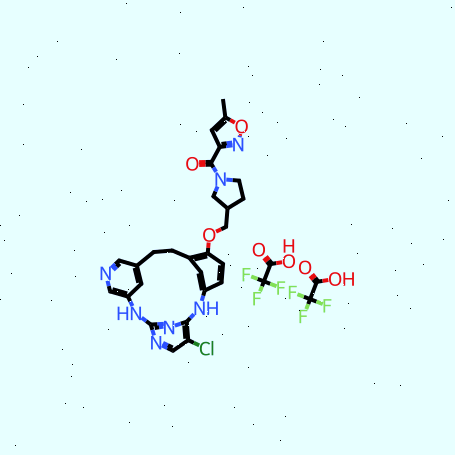 Cc1cc(C(=O)N2CCC(COc3ccc4cc3CCc3cncc(c3)Nc3ncc(Cl)c(n3)N4)C2)no1.O=C(O)C(F)(F)F.O=C(O)C(F)(F)F